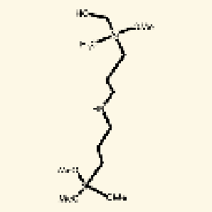 CO[Si](C)(CO)CCCNCCC[Si](OC)(OC)OC